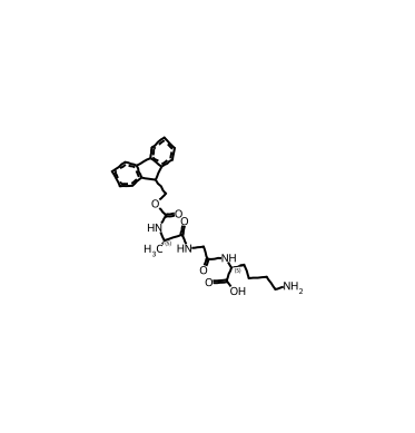 C[C@H](NC(=O)OCC1c2ccccc2-c2ccccc21)C(=O)NCC(=O)N[C@@H](CCCCN)C(=O)O